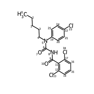 CCCCCN(C(=O)NC(=O)c1c(Cl)cccc1Cl)c1ccc(Cl)cc1